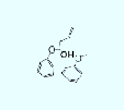 C=CCC(O)Oc1ccccc1.COc1ccccc1